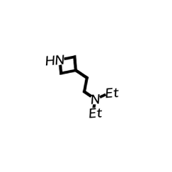 CCN(CC)CCC1CNC1